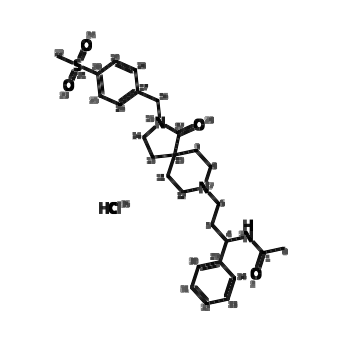 CC(=O)NC(CCN1CCC2(CC1)CCN(Cc1ccc(S(C)(=O)=O)cc1)C2=O)c1ccccc1.Cl